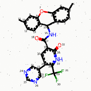 Cc1ccc2c(c1)Oc1cc(C)ccc1C2NC(=O)c1cc(-c2cncnc2)c(C(F)(F)F)[nH]c1=O